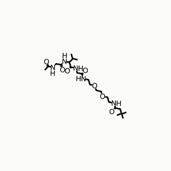 CC(=O)NCC(=O)NC(C(=O)NCC(=O)NCCOCCOCCNC(=O)CC(C)(C)C)C(C)C